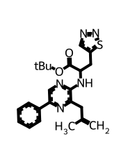 C=C(C)Cc1nc(-c2ccccc2)cnc1NC(Cc1cnns1)C(=O)OC(C)(C)C